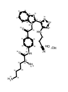 Cl.Cl.N#CCCNc1nonc1-c1nc2ccccc2n1CC(=O)c1ccc(NC(=O)[C@@H](N)CCCCN)cc1